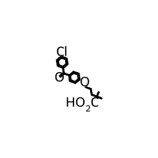 CC(C)(CCCOc1ccc(C(=O)c2ccc(Cl)cc2)cc1)C(=O)O